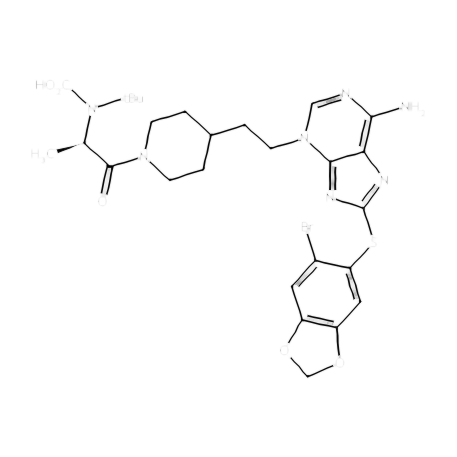 C[C@H](C(=O)N1CCC(CCn2cnc(N)c3nc(Sc4cc5c(cc4Br)OCO5)nc2-3)CC1)N(C(=O)O)C(C)(C)C